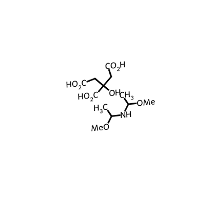 COC(C)NC(C)OC.O=C(O)CC(O)(CC(=O)O)C(=O)O